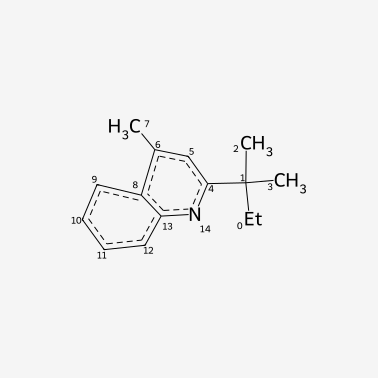 CCC(C)(C)c1cc(C)c2ccccc2n1